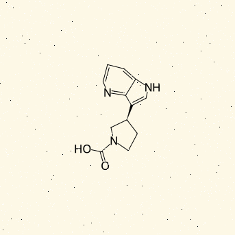 O=C(O)N1CC[C@H](c2c[nH]c3cccnc23)C1